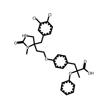 CN1C(=O)NCC1(CCOc1ccc(CC(C)(Oc2ccccc2)C(=O)O)cc1)Cc1ccc(Cl)c(Cl)c1